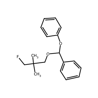 CC(C)(CF)COC(Oc1ccccc1)c1ccccc1